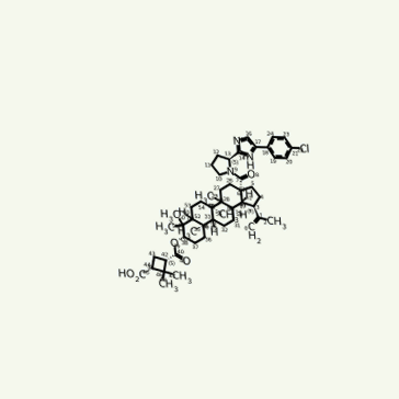 C=C(C)[C@@H]1CC[C@]2(C(=O)N3CCC[C@H]3c3ncc(-c4ccc(Cl)cc4)[nH]3)CC[C@]3(C)[C@H](CC[C@@H]4[C@@]5(C)CC[C@H](OC(=O)[C@H]6C[C@@H](C(=O)O)C6(C)C)C(C)(C)[C@@H]5CC[C@]43C)[C@@H]12